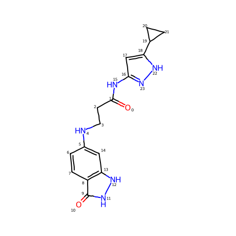 O=C(CCNc1ccc2c(=O)[nH][nH]c2c1)Nc1cc(C2CC2)[nH]n1